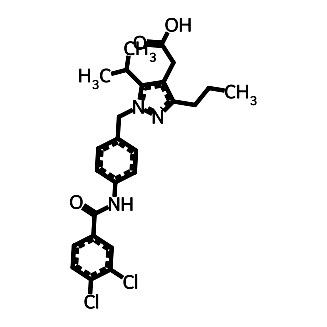 CCCc1nn(Cc2ccc(NC(=O)c3ccc(Cl)c(Cl)c3)cc2)c(C(C)C)c1CC(=O)O